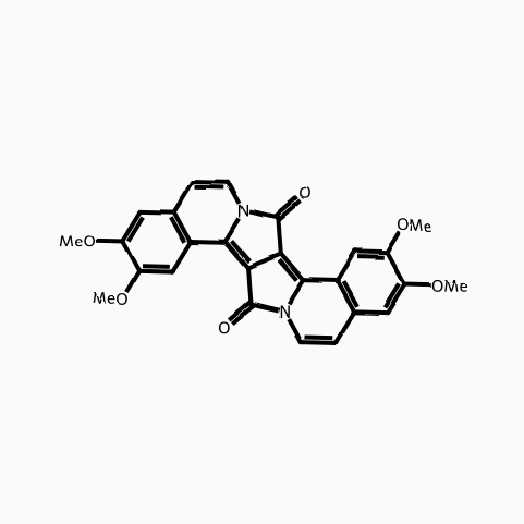 COc1cc2c(cc1OC)C1=C3C(=O)N4C=Cc5cc(OC)c(OC)cc5C4=C3C(=O)N1C=C2